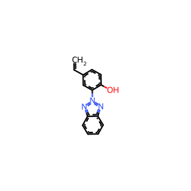 C=Cc1ccc(O)c(-n2nc3ccccc3n2)c1